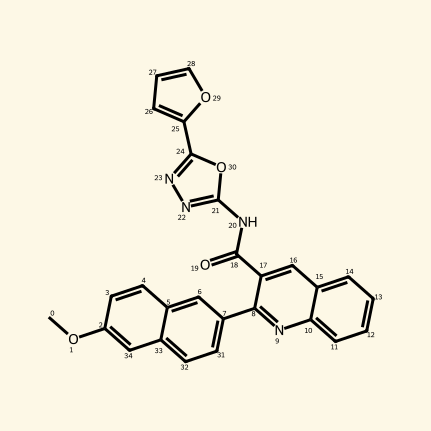 COc1ccc2cc(-c3nc4ccccc4cc3C(=O)Nc3nnc(-c4ccco4)o3)ccc2c1